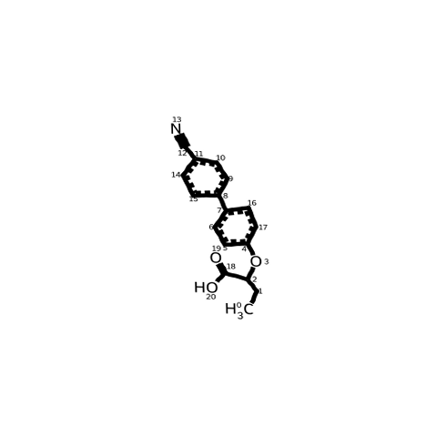 CCC(Oc1ccc(-c2ccc(C#N)cc2)cc1)C(=O)O